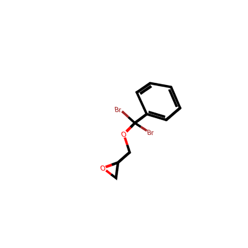 BrC(Br)(OCC1CO1)c1ccccc1